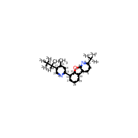 [2H]C([2H])([2H])c1ccc2c(n1)oc1c(-c3cc(C)c(C([2H])(C)C([2H])([2H])[2H])cn3)cccc12